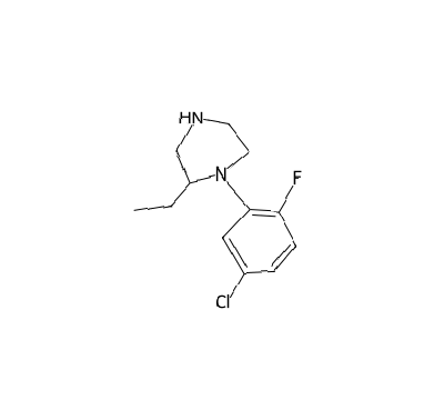 CCC1CNCCN1c1cc(Cl)ccc1F